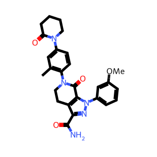 COc1cccc(-n2nc(C(N)=O)c3c2C(=O)N(c2ccc(N4CCCCC4=O)cc2C)CC3)c1